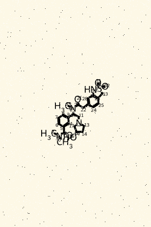 CN(C)C(=O)c1cccc(C(CN2CC[C@H](O)C2)N(C)C(=O)Cc2ccc3c(c2)NS(=O)(=O)C3)c1